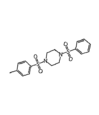 Cc1ccc(S(=O)(=O)N2CCN(S(=O)(=O)c3ccccc3)CC2)cc1